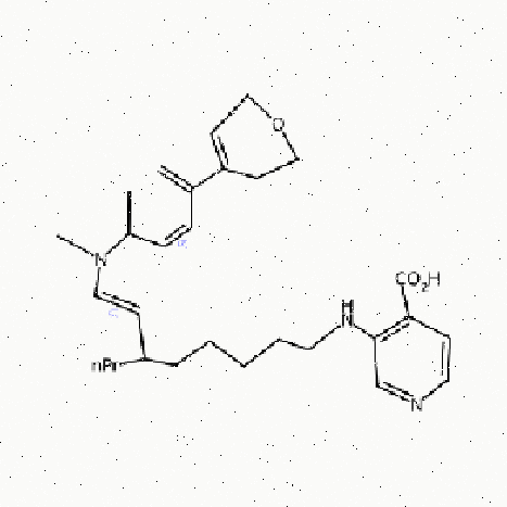 C=C(/C=C\C(C)N(C)/C=C/C(CCC)CCCCCNc1cnccc1C(=O)O)C1=CCOCC1